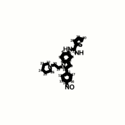 N=C(Nc1ccc2c(c1)cc(-c1ccc(N=O)cc1)n2CCN1CCCCC1)c1cccs1